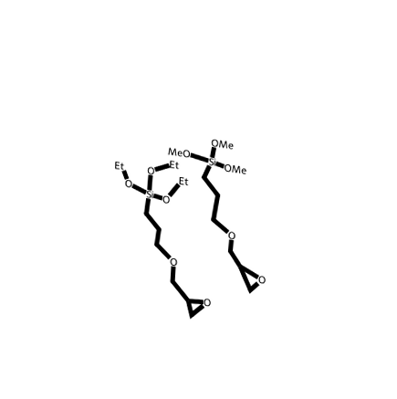 CCO[Si](CCCOCC1CO1)(OCC)OCC.CO[Si](CCCOCC1CO1)(OC)OC